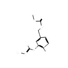 C=C(NCc1ccc(C)c(N/C(CC)=N/C#N)c1)OC(C)(C)C